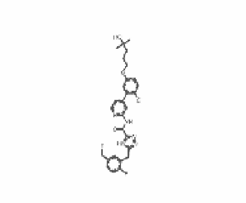 CC(C)(O)CCCOc1ccc(Cl)c(-c2ccnc(NC(=O)c3nnc(Cc4cc(CF)ccc4F)[nH]3)c2)c1